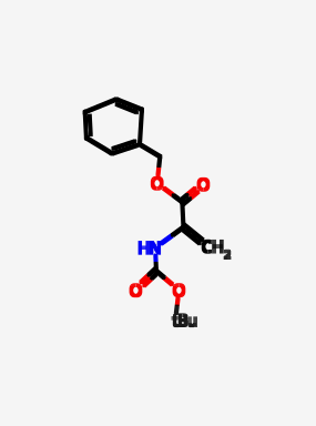 C=C(NC(=O)OC(C)(C)C)C(=O)OCc1ccccc1